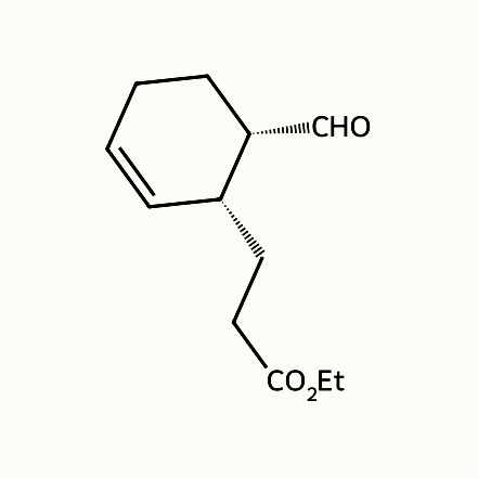 CCOC(=O)CC[C@@H]1C=CCC[C@@H]1C=O